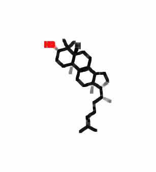 CC(C)=CCC[C@@H](C)[C@H]1CCC2C3=C(CC[C@@]21C)[C@@]1(C)CC[C@H](O)C(C)(C)[C@@H]1CC3